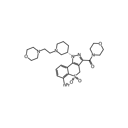 CCCc1cccc2c1S(=O)(=O)Cc1c(C(=O)N3CCOCC3)nn([C@H]3CCCN(CCN4CCOCC4)C3)c1-2